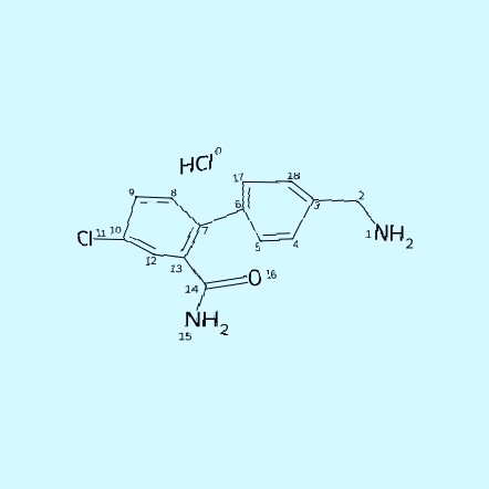 Cl.NCc1ccc(-c2ccc(Cl)cc2C(N)=O)cc1